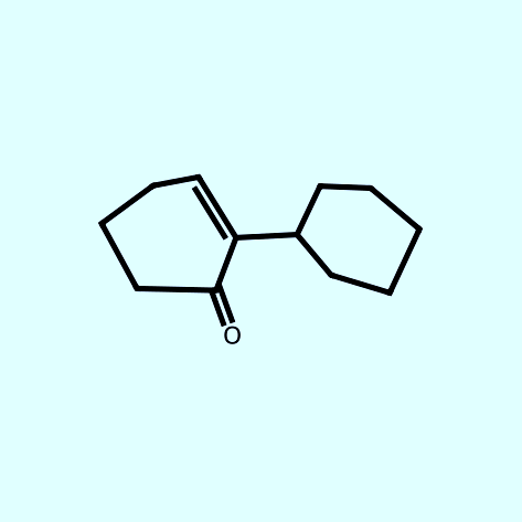 O=C1CCCC=C1C1CCCCC1